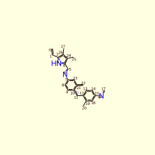 C=Cc1[nH]c(C=Nc2cc/c(=C/c3ccc(N=C)cc3C)c(=C)c2)c(C)c1C